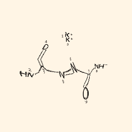 [K+].[K+].[NH-]C(=O)N=NC([NH-])=O